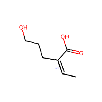 C/C=C(/CCCO)C(=O)O